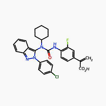 C=C(C(=O)O)c1ccc(NC(=O)N(c2c3ccccc3nn2-c2ccc(Cl)cc2)C2CCCCC2)c(F)c1